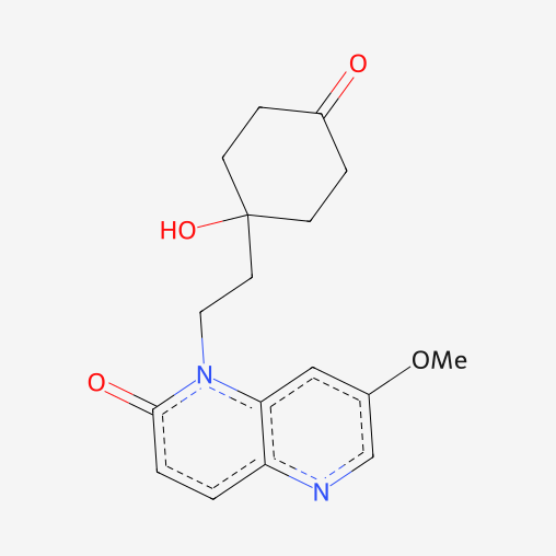 COc1cnc2ccc(=O)n(CCC3(O)CCC(=O)CC3)c2c1